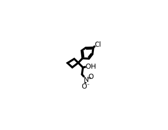 O=[N+]([O-])CC(O)C1(c2ccc(Cl)cc2)CCC1